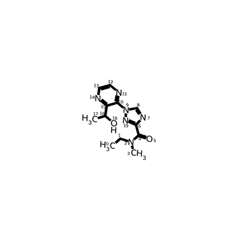 CCN(C)C(=O)c1ncn(-c2nccnc2C(C)O)n1